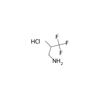 CC(CN)C(F)(F)F.Cl